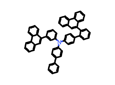 c1ccc(-c2ccc(N(c3ccc(-c4ccccc4-c4cc5ccccc5c5ccccc45)cc3)c3cccc(-c4cc5ccccc5c5ccccc45)c3)cc2)cc1